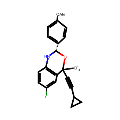 COc1ccc([C@H]2Nc3ccc(Cl)cc3C(C#CC3CC3)(C(F)(F)F)O2)cc1